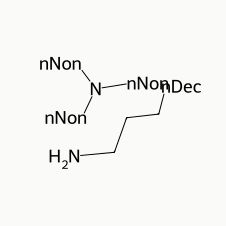 CCCCCCCCCCCCCN.CCCCCCCCCN(CCCCCCCCC)CCCCCCCCC